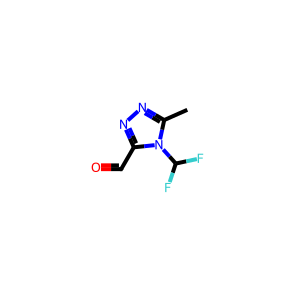 Cc1nnc(C=O)n1C(F)F